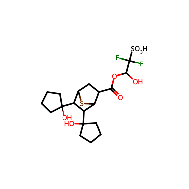 O=C(OC(O)C(F)(F)S(=O)(=O)O)C1CC2SC1C(C1(O)CCCC1)C2C1(O)CCCC1